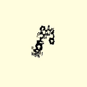 CC(C)(C)C(NC(=O)c1cc2cc(C(F)(F)P(=O)(O)O)ccc2s1)C(=O)N1CCC[C@H]1C(=O)Nc1ncc(Cc2ccccc2)s1